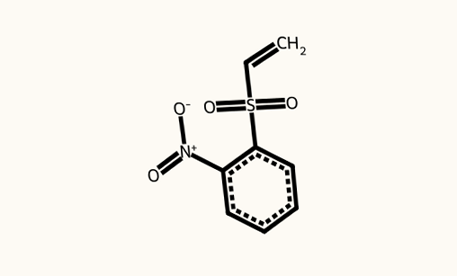 C=CS(=O)(=O)c1ccccc1[N+](=O)[O-]